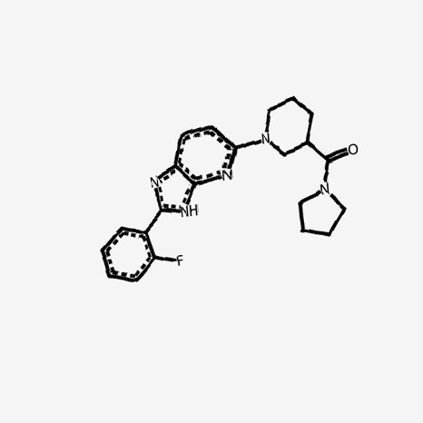 O=C(C1CCCN(c2ccc3nc(-c4ccccc4F)[nH]c3n2)C1)N1CCCC1